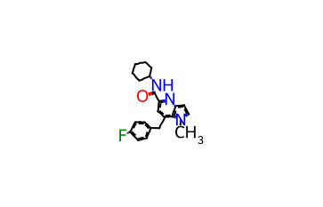 Cn1ccc2nc(C(=O)NC3CCCCC3)cc(Cc3ccc(F)cc3)c21